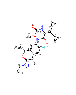 COCc1cc(NC(=O)C(NC(=O)OC(C)(C)C)C(C2CC2)C2CC2)c(F)cc1C(C)C(=O)NCC(F)(F)F